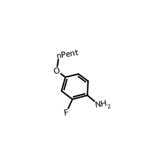 CCCCCOc1ccc(N)c(F)c1